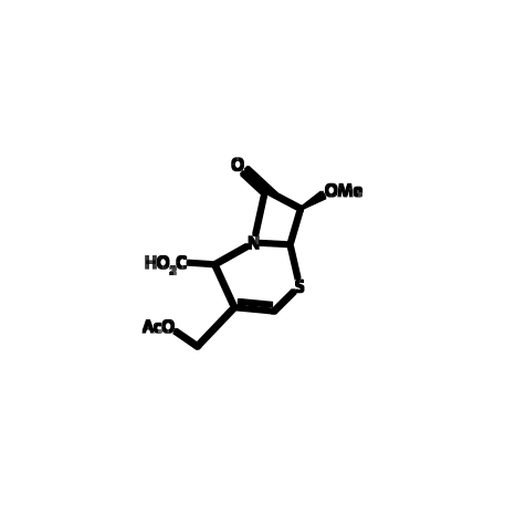 CO[C@@H]1C(=O)N2C(C(=O)O)C(COC(C)=O)=CSC12